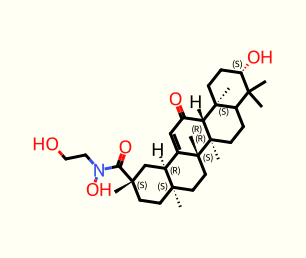 CC1(C)C2CC[C@]3(C)[C@H](C(=O)C=C4[C@@H]5C[C@@](C)(C(=O)N(O)CCO)CC[C@]5(C)CC[C@]43C)[C@@]2(C)CC[C@@H]1O